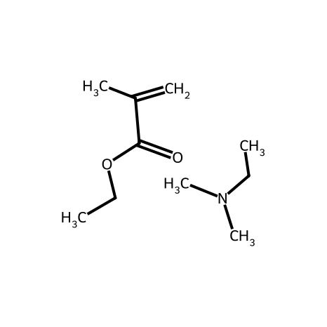 C=C(C)C(=O)OCC.CCN(C)C